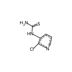 NC(=S)Nc1cccnc1Cl